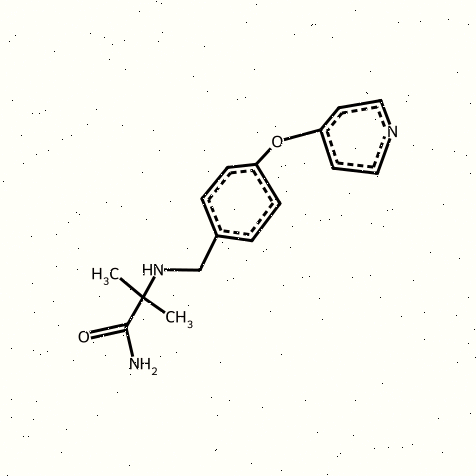 CC(C)(NCc1ccc(Oc2ccncc2)cc1)C(N)=O